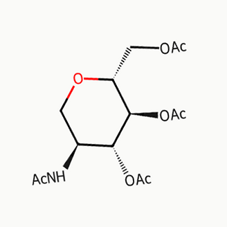 CC(=O)N[C@H]1CO[C@H](COC(C)=O)[C@@H](OC(C)=O)[C@@H]1OC(C)=O